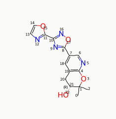 CC1(C)Oc2ncc(-c3nc(-c4ncco4)no3)cc2C[C@H]1O